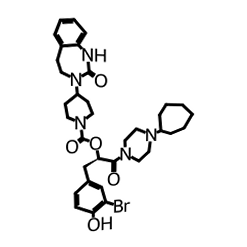 O=C(O[C@H](Cc1ccc(O)c(Br)c1)C(=O)N1CCN(C2CCCCCC2)CC1)N1CCC(N2CCc3ccccc3NC2=O)CC1